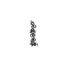 Cc1ccc(C(=O)OCCN2C(C)(C)CC(OC(=O)CCC(=O)OC3CC(C)(C)NC(C)(C)C3)CC2(C)C)cc1